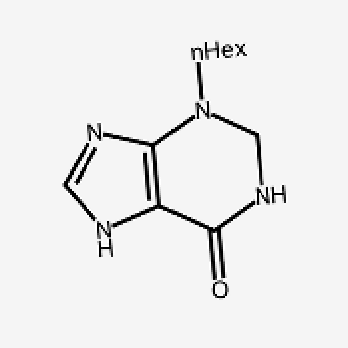 CCCCCCN1CNC(=O)c2[nH]cnc21